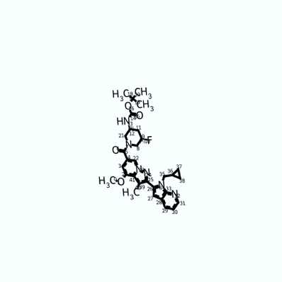 COc1cc(C(=O)N2C[C@H](F)C[C@@H](NC(=O)OC(C)(C)C)C2)cn2nc(-c3cc4cccnc4n3CC3CC3)c(C)c12